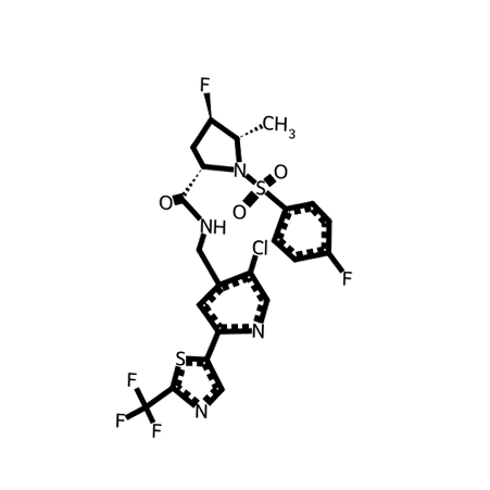 C[C@H]1[C@H](F)C[C@@H](C(=O)NCc2cc(-c3cnc(C(F)(F)F)s3)ncc2Cl)N1S(=O)(=O)c1ccc(F)cc1